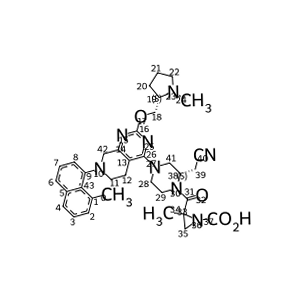 Cc1cccc2cccc(N3CCc4c(nc(OC[C@@H]5CCCN5C)nc4N4CCN(C(=O)C5(C)CN5C(=O)O)[C@@H](CC#N)C4)C3)c12